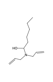 C=CCN(CC=C)C(O)CCCCC